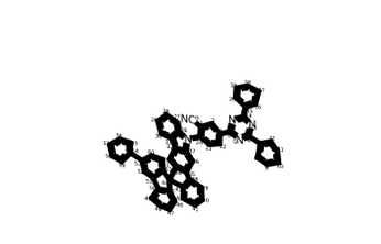 N#Cc1cc(-c2nc(-c3ccccc3)nc(-c3ccccc3)n2)ccc1-n1c2ccccc2c2cc3c(cc21)-c1ccccc1C31c2ccccc2-c2cc(-c3ccccc3)ccc21